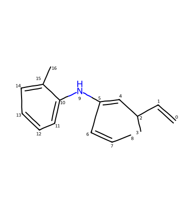 C=CC(C)/C=C(\C=C/C)Nc1ccccc1C